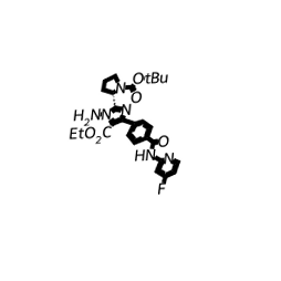 CCOC(=O)c1c(-c2ccc(C(=O)Nc3cc(F)ccn3)cc2)nc([C@@H]2CCCN2C(=O)OC(C)(C)C)n1N